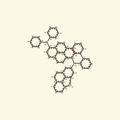 c1ccc(-c2ccccc2N(c2cc3ccc4cccc5oc(c2)c3c45)c2ccc3ccc4c(N(c5ccccc5)c5ccccc5)ccc5ccc2c3c54)cc1